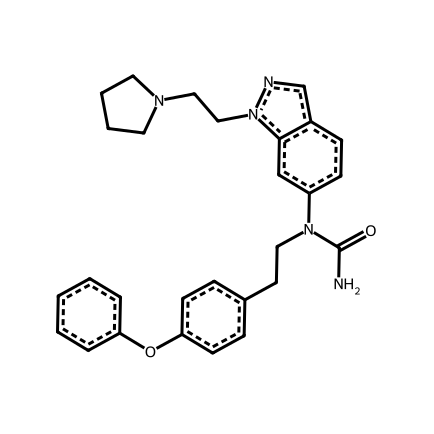 NC(=O)N(CCc1ccc(Oc2ccccc2)cc1)c1ccc2cnn(CCN3CCCC3)c2c1